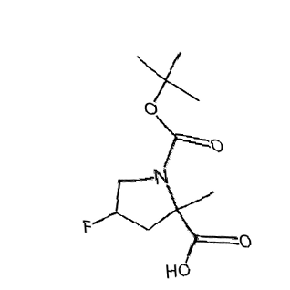 CC(C)(C)OC(=O)N1CC(F)CC1(C)C(=O)O